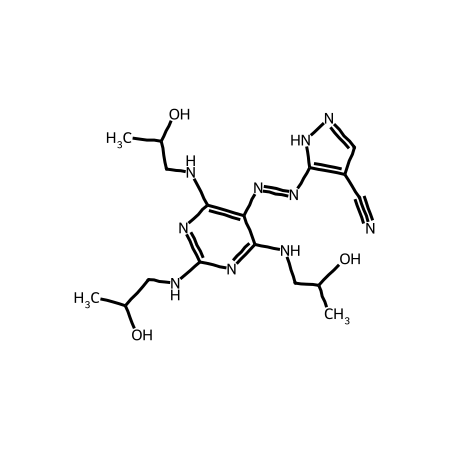 CC(O)CNc1nc(NCC(C)O)c(N=Nc2[nH]ncc2C#N)c(NCC(C)O)n1